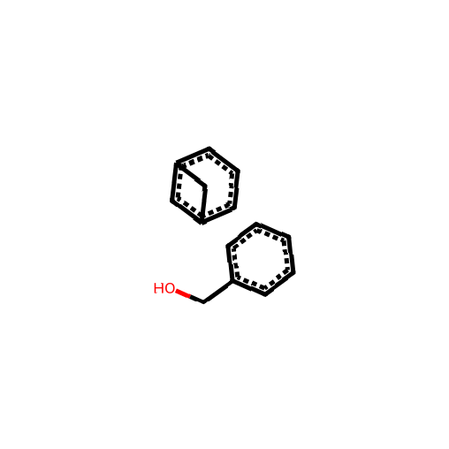 OCc1ccccc1.c1cc2cc(c1)C2